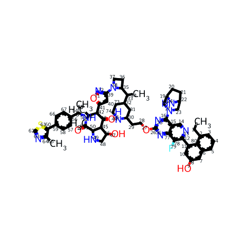 CCc1cccc2cc(O)cc(-c3ncc4c(N5CC6CCC(C5)N6)nc(OCCC5CC(C(C)C6CCN6c6cc(C(C(=O)C7C(O)CNC7C(=O)N[C@@H](C)c7ccc(-c8scnc8C)cc7)C(C)C)on6)CCN5)nc4c3F)c12